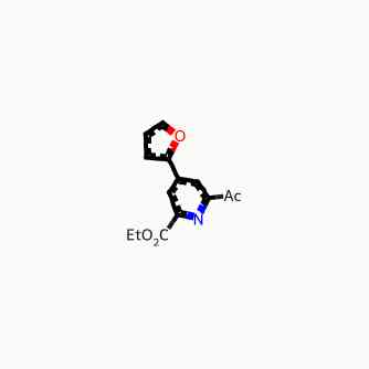 CCOC(=O)c1cc(-c2ccco2)cc(C(C)=O)n1